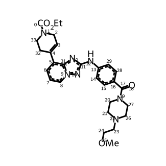 CCOC(=O)N1CC=C(c2cccn3nc(Nc4ccc(C(=O)N5CCN(CCOC)CC5)cc4)nc23)CC1